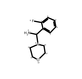 NC(c1cc[c]cc1F)N1CCOCC1